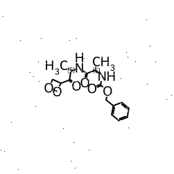 C[C@H](NC(=O)OCc1ccccc1)C(=O)N[C@@H](C)C(=O)C1COO1